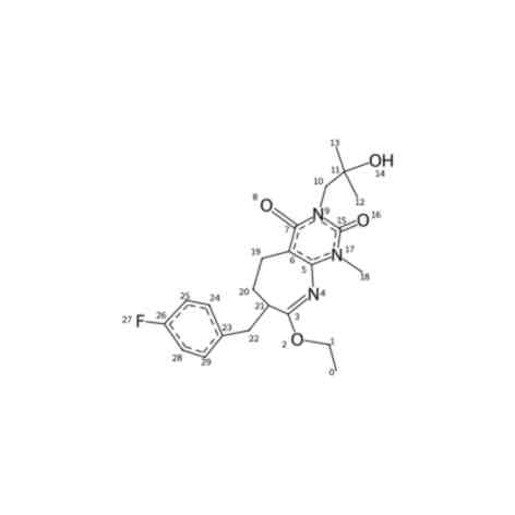 CCOC1=Nc2c(c(=O)n(CC(C)(C)O)c(=O)n2C)CCC1Cc1ccc(F)cc1